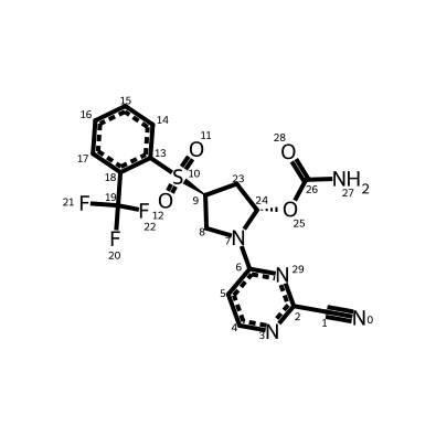 N#Cc1nccc(N2C[C@@H](S(=O)(=O)c3ccccc3C(F)(F)F)C[C@@H]2OC(N)=O)n1